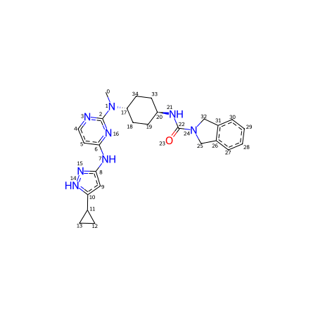 CN(c1nccc(Nc2cc(C3CC3)[nH]n2)n1)[C@H]1CC[C@H](NC(=O)N2Cc3ccccc3C2)CC1